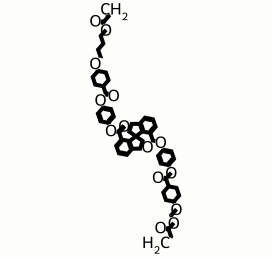 C=CC(=O)OCCCCOC1CCC(C(=O)Oc2ccc(OC(=O)c3cccc4c3C3(CC4)CCc4cccc(C(=O)Oc5ccc(OC(=O)C6CCC(OCOC(=O)C=C)CC6)cc5)c43)cc2)CC1